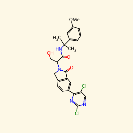 COc1cccc(C(C)(C)NC(=O)C(CO)N2Cc3ccc(-c4nc(Cl)ncc4Cl)cc3C2=O)c1